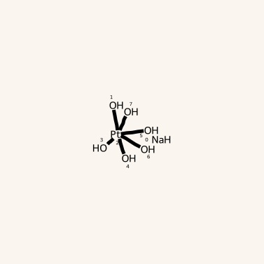 [NaH].[OH][Pt]([OH])([OH])([OH])([OH])[OH]